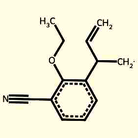 [CH2]C(C=C)c1cccc(C#N)c1OCC